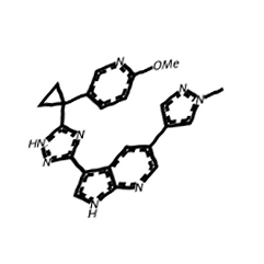 COc1ccc(C2(c3nc(-c4c[nH]c5ncc(-c6cnn(C)c6)cc45)n[nH]3)CC2)cn1